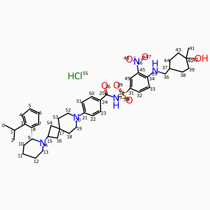 CC(C)c1ccccc1[C@H]1CCCCN1C1CC2(CCN(c3ccc(C(=O)NS(=O)(=O)c4ccc(NCC5CCC(C)(O)CC5)c([N+](=O)[O-])c4)cc3)CC2)C1.Cl